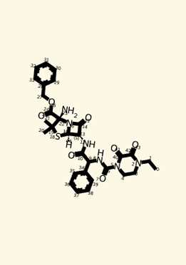 CCN1CCN(C(=O)NC(C(=O)N[C@H]2C(=O)N3[C@@H]2SC(C)(C)[C@]3(N)C(=O)OCc2ccccc2)c2ccccc2)C(=O)C1=O